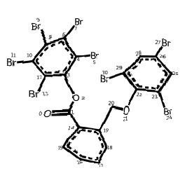 O=C(Oc1c(Br)c(Br)c(Br)c(Br)c1Br)c1ccccc1COc1c(Br)cc(Br)cc1Br